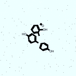 C=O.Cc1ccc(O)cc1.Cc1ccccc1O.Oc1ccccc1